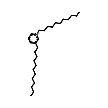 CCCCCCCCCCCCc1ccc[n+](CCCCCCCCCCC)c1